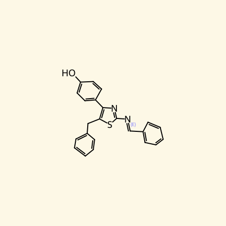 Oc1ccc(-c2nc(/N=C/c3ccccc3)sc2Cc2ccccc2)cc1